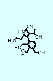 CC(O)c1c(C#N)[nH]c(CCN)c1-c1ccc(CO)c(CO)c1CO